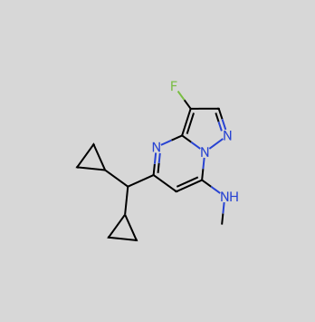 CNc1cc(C(C2CC2)C2CC2)nc2c(F)cnn12